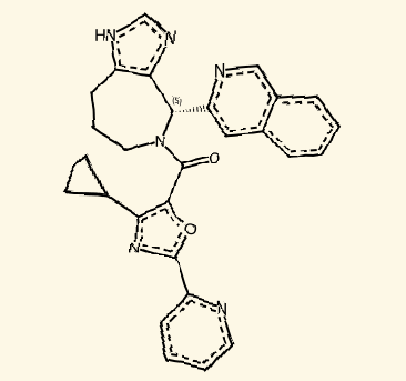 O=C(c1oc(-c2ccccn2)nc1C1CC1)N1CCCc2[nH]cnc2[C@@H]1c1cc2ccccc2cn1